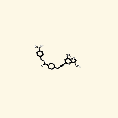 Cn1cnc2c(N)nc(C#CCC3CCN(C(=O)OCc4ccc([N+](=O)[O-])cc4)CC3)nc21